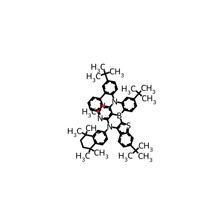 Cc1nc2c3c(n1)N(c1ccc4c(c1)C(C)(C)CCC4(C)C)c1c(sc4cc(C(C)(C)C)ccc14)B3c1ccc(C(C)(C)C)cc1N2c1ccc(C(C)(C)C)cc1-c1ccccc1